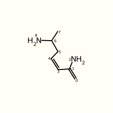 C=C(N)/C=C\CC(C)N